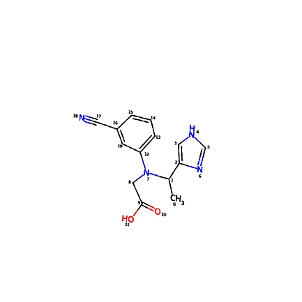 CC(c1c[nH]cn1)N(CC(=O)O)c1cccc(C#N)c1